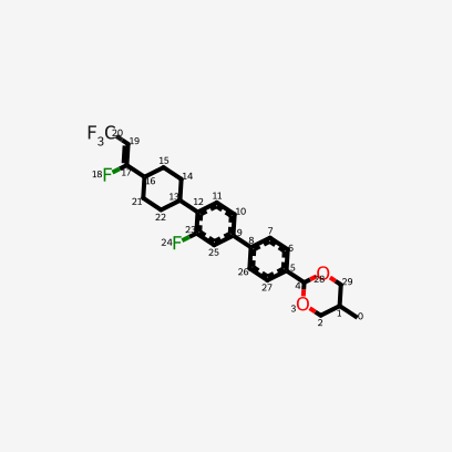 CC1COC(c2ccc(-c3ccc(C4CCC(/C(F)=C/C(F)(F)F)CC4)c(F)c3)cc2)OC1